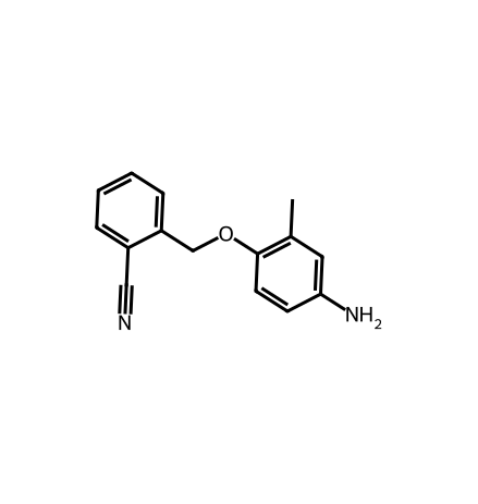 Cc1cc(N)ccc1OCc1ccccc1C#N